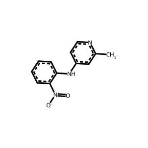 Cc1cc(Nc2ccccc2[N+](=O)[O-])ccn1